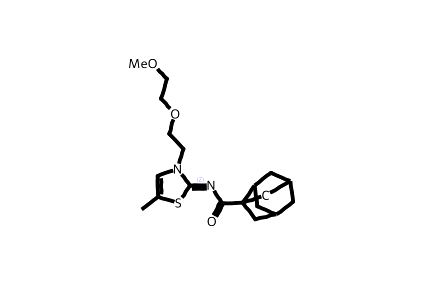 COCCOCCn1cc(C)s/c1=N\C(=O)C12CC3CC(CC1C3)C2